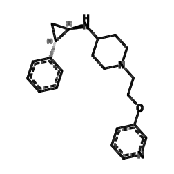 c1ccc([C@@H]2C[C@H]2NC2CCN(CCOc3cccnc3)CC2)cc1